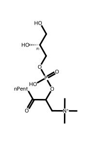 CCCCCC(=O)C(C[N+](C)(C)C)OP(=O)(O)OC[C@H](O)CO